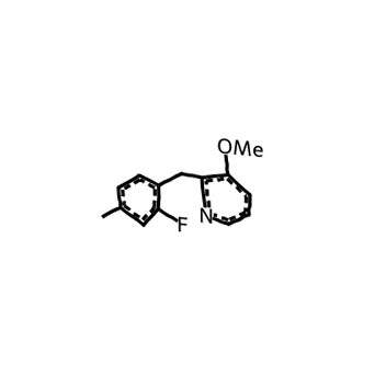 COc1cccnc1Cc1ccc(C)cc1F